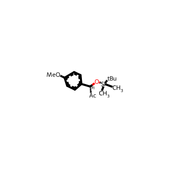 COc1ccc([C@@H](O[Si](C)(C)C(C)(C)C)C(C)=O)cc1